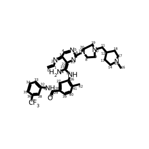 C=C/N=C1/C=NC(N2CCN(CC3CCN(C)CC3)CC2)=N/C1=C(/N)Nc1cc(C(=O)Nc2cccc(C(F)(F)F)c2)ccc1C